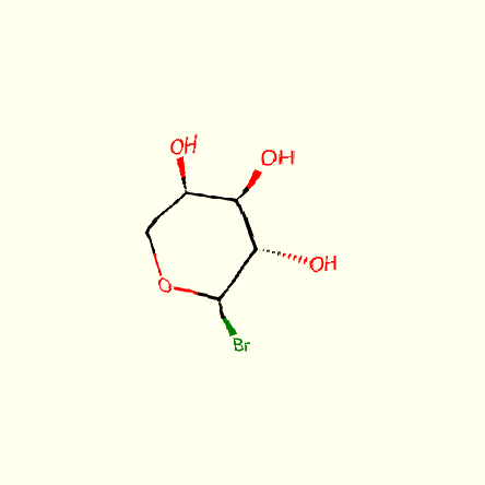 O[C@H]1[C@H](O)[C@@H](Br)OC[C@H]1O